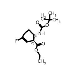 CCOC(=O)[C@H]1C=C(F)CC[C@@H]1NC(=O)OC(C)(C)C